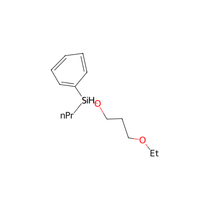 CCC[SiH](OCCCOCC)c1ccccc1